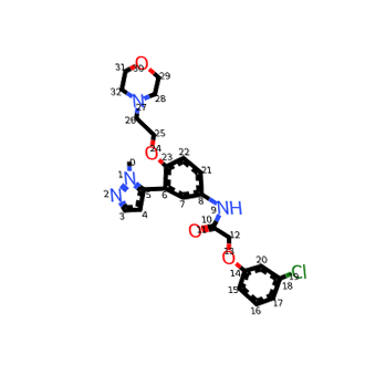 Cn1nccc1-c1cc(NC(=O)COc2cccc(Cl)c2)ccc1OCCN1CCOCC1